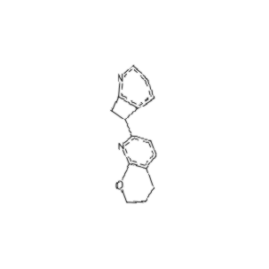 c1cnc2c(c1)C(c1ccc3c(n1)OCCC3)C2